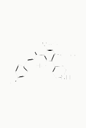 COc1cc(C=O)c(C2=CCNCC2)c(O)c1C(=O)/C=C/c1ccc(Cl)cc1